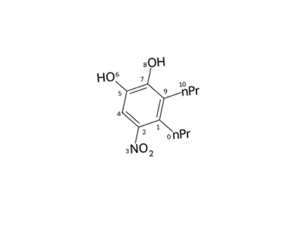 CCCc1c([N+](=O)[O-])cc(O)c(O)c1CCC